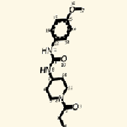 CCC(=O)N1CCC(NC(=O)Nc2ccc(OC)cc2)CC1